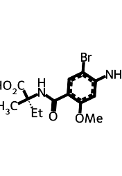 CC[C@@](C)(NC(=O)c1cc(Br)c(N)cc1OC)C(=O)O